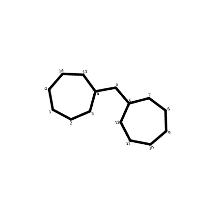 C1CCC[C](C[C]2CCCCCC2)CC1